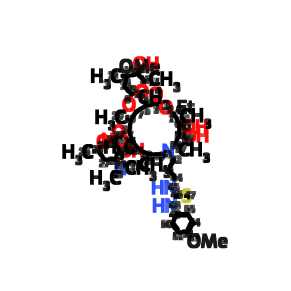 CC[C@H]1OC(=O)[C@H](C)[C@@H](O[C@H]2C[C@@](C)(OC)[C@@H](O)[C@H](C)O2)[C@H](C)[C@@H](O[C@@H]2O[C@H](C)C[C@H](N(C)C)[C@H]2O)[C@](C)(O)C[C@@H](C)CN(CCCNC(=S)Nc2ccc(OC)cc2)[C@H](C)[C@@H](O)[C@]1(C)O